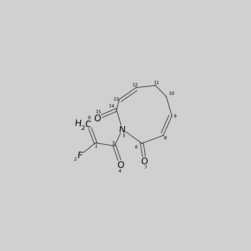 C=C(F)C(=O)N1C(=O)C=CCCC=CC1=O